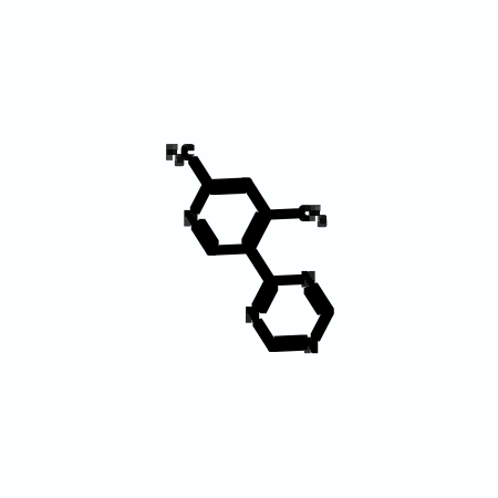 FC(F)(F)c1cc(C(F)(F)F)c(-c2ncncn2)cn1